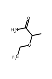 CC(OCN)C(N)=O